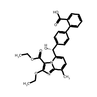 CCOC(=O)c1c(OCC)nc2c(C)ccc([C@H](O)c3ccc(-c4ccccc4C(=O)O)cc3)n12